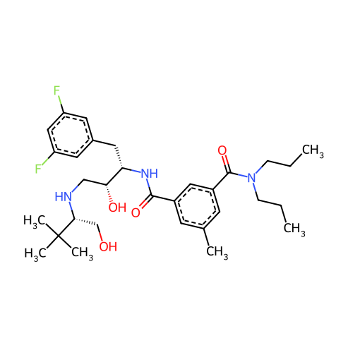 CCCN(CCC)C(=O)c1cc(C)cc(C(=O)N[C@@H](Cc2cc(F)cc(F)c2)[C@H](O)CN[C@H](CO)C(C)(C)C)c1